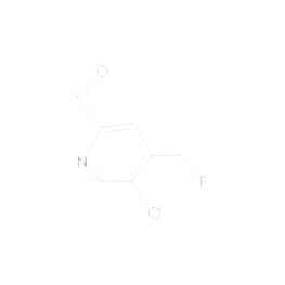 O=Cc1cc(CF)c(Cl)cn1